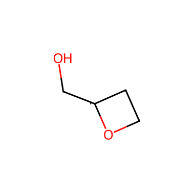 OC[C]1CCO1